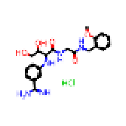 COc1ccccc1CNC(=O)CNC(=O)C(Nc1cccc(C(=N)N)c1)C(O)CO.Cl